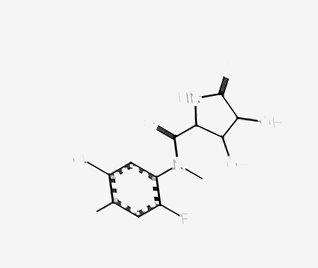 CN(C(=O)C1NC(=O)C(O)C1O)c1cc(Cl)c(F)cc1F